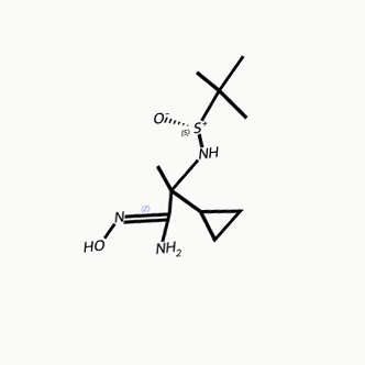 CC(N[S@+]([O-])C(C)(C)C)(/C(N)=N/O)C1CC1